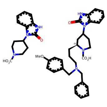 COc1ccc(CN(CCC[C@H]2CC(n3c(=O)[nH]c4ccccc43)CCN2C(=O)O)Cc2ccccc2)cc1.O=C(O)N1CCC(n2c(=O)[nH]c3ccccc32)CC1